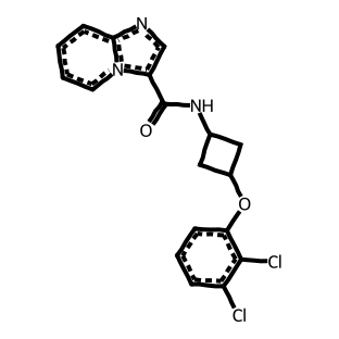 O=C(NC1CC(Oc2cccc(Cl)c2Cl)C1)c1cnc2ccccn12